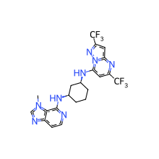 Cn1cnc2ccnc(N[C@@H]3CCC[C@H](Nc4cc(C(F)(F)F)nc5cc(C(F)(F)F)nn45)C3)c21